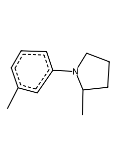 Cc1cccc(N2CCCC2C)c1